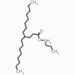 CCCCCCCCC(CCCCCCCC)CCC(=O)O[SiH2]CCC